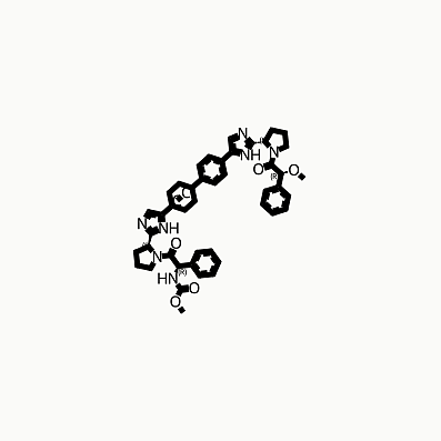 COC(=O)N[C@@H](C(=O)N1CCC[C@H]1c1ncc(C23CCC(c4ccc(-c5cnc([C@@H]6CCCN6C(=O)[C@H](OC)c6ccccc6)[nH]5)cc4)(CC2)CC3)[nH]1)c1ccccc1